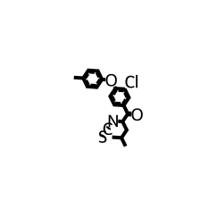 Cc1ccc(Oc2ccc(C(=O)C(CC(C)C)N=C=S)cc2Cl)cc1